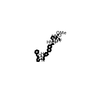 COC(=O)N[C@@H](CC(F)F)C(=O)N1CCC[C@H]1c1ncc(-c2ccc3cc(-c4ccc(-c5cnc([C@@H]6CCCN6C(=O)Cc6ccccc6)[nH]5)cc4)ccc3c2)[nH]1